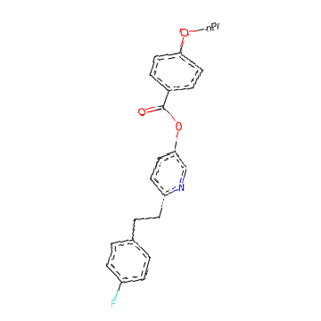 CCCOc1ccc(C(=O)Oc2ccc(CCc3ccc(F)cc3)nc2)cc1